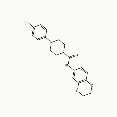 O=C(Nc1ccc2c(c1)OCCO2)N1CCN(c2ccc(C(F)(F)F)cc2)CC1